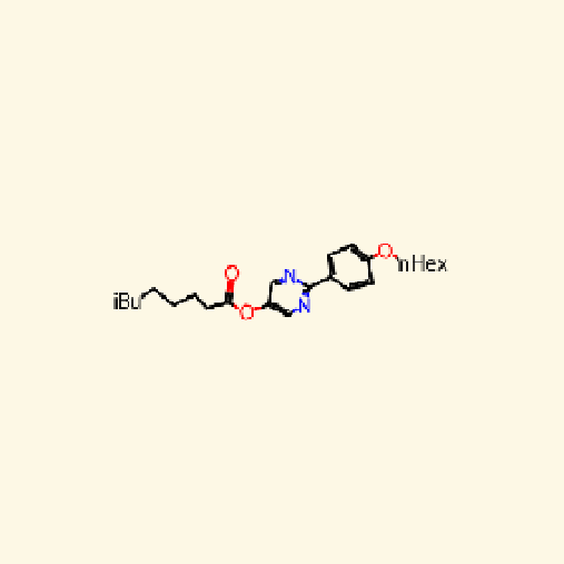 CCCCCCOc1ccc(-c2ncc(OC(=O)CCCCC(C)CC)cn2)cc1